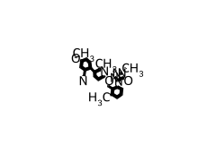 COc1ccc(-c2ccc(OCc3c(C)cccc3-n3nnn(C)c3=O)nc2C)c(C#N)c1